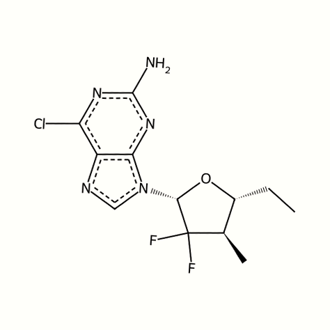 CC[C@H]1O[C@@H](n2cnc3c(Cl)nc(N)nc32)C(F)(F)[C@@H]1C